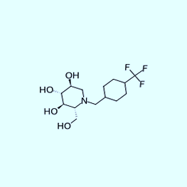 OC[C@@H]1[C@@H](O)[C@H](O)[C@@H](O)CN1CC1CCC(C(F)(F)F)CC1